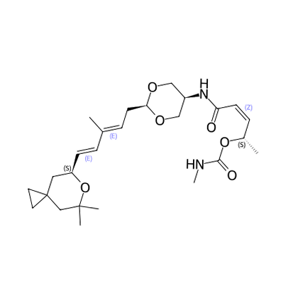 CNC(=O)O[C@@H](C)/C=C\C(=O)N[C@H]1CO[C@@H](C/C=C(C)/C=C/[C@@H]2CC3(CC3)CC(C)(C)O2)OC1